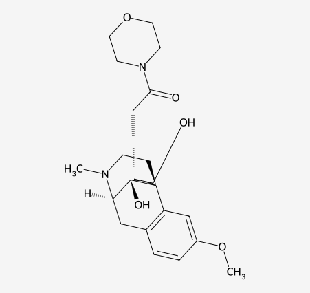 COc1ccc2c(c1)[C@]13CCN(C)[C@H](C2)[C@]1(O)C[C@H](CC(=O)N1CCOCC1)C(O)C3